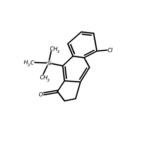 C[Si](C)(C)c1c2c(cc3c(Cl)cccc13)CCC2=O